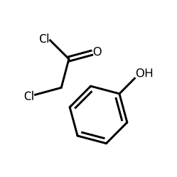 O=C(Cl)CCl.Oc1ccccc1